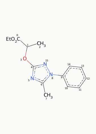 CCOC(=O)C(C)Oc1nc(C)n(-c2ccccc2)n1